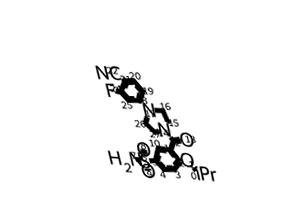 CC(C)Oc1ccc(S(N)(=O)=O)cc1C(=O)N1CCN(c2ccc(C#N)c(F)c2)CC1